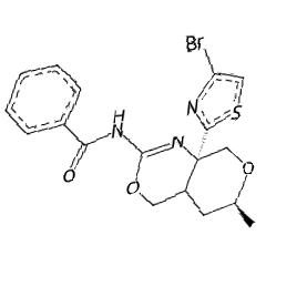 C[C@H]1CC2COC(NC(=O)c3ccccc3)=N[C@@]2(c2nc(Br)cs2)CO1